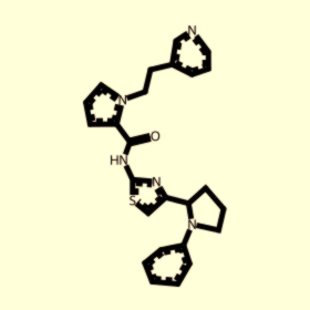 O=C(Nc1nc(C2CCCN2c2ccccc2)cs1)c1cccn1CCc1cccnc1